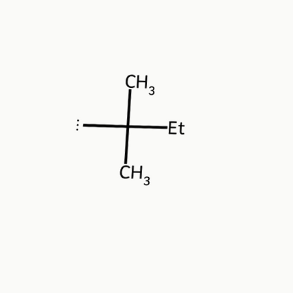 [C]C(C)(C)CC